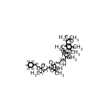 CCN(CCNC(=O)[C@H](CCCN/C(N)=N/S(=O)(=O)c1c(C)c(C)c2c(c1C)CC(C)(C)O2)NC(C)=O)C(=O)OCc1ccccc1